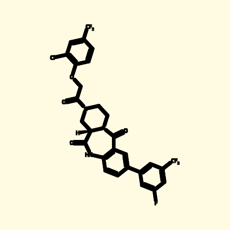 O=C1Nc2ccc(-c3cc(F)cc(C(F)(F)F)c3)cc2C(=O)N2CCN(C(=O)COc3ccc(C(F)(F)F)cc3Cl)C[C@@H]12